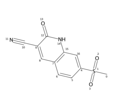 CS(=O)(=O)c1ccc2cc(C#N)c(=O)[nH]c2c1